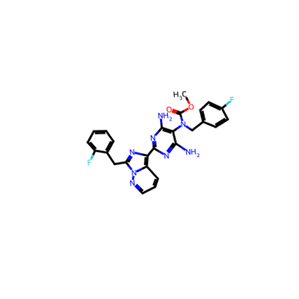 COC(=O)N(Cc1ccc(F)cc1)c1c(N)nc(-c2nc(Cc3ccccc3F)n3ncccc23)nc1N